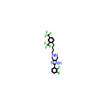 Fc1cccc(-c2nc3c([nH]2)C=NN(CCCCc2ccc(C(F)(F)F)cc2C(F)(F)F)C3)c1F